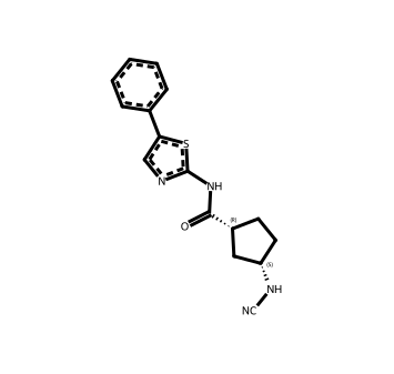 N#CN[C@H]1CC[C@@H](C(=O)Nc2ncc(-c3ccccc3)s2)C1